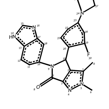 Cc1c2c(nn1C)C(=O)N(c1ccc3[nH]cnc3c1)C2c1ccc(N2CCC2)cc1F